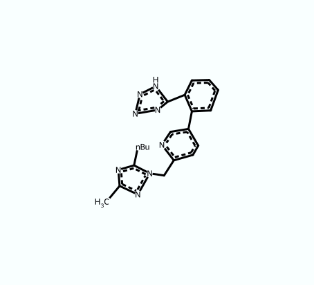 CCCCc1nc(C)nn1Cc1ccc(-c2ccccc2-c2nnn[nH]2)cn1